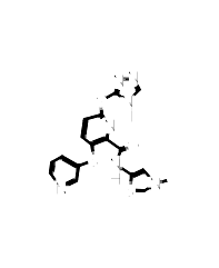 CN1C=C(NC(=O)c2nc(Sc3nnc[nH]3)ccc2Sc2cccnc2)SC1